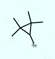 [2H]C1C(C)(C)C1(C)C